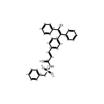 CC/C(=C(\c1ccccc1)c1ccc(/C=C/C(=O)NS(=O)(=O)Cc2ccccc2)cc1)c1ccccc1